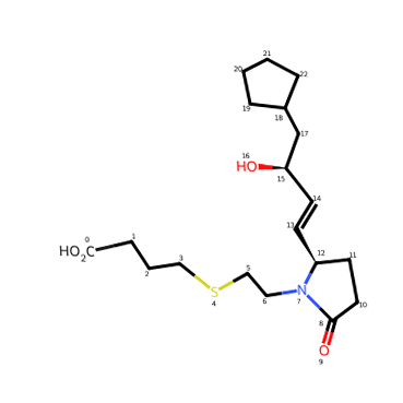 O=C(O)CCCSCCN1C(=O)CC[C@@H]1/C=C/[C@@H](O)CC1CCCC1